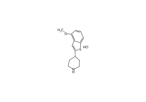 COc1cccc2sc(C3CCNCC3)cc12.Cl